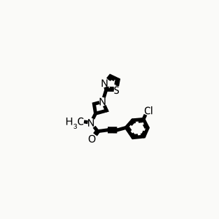 CN(C(=O)C#Cc1cccc(Cl)c1)C1CN(c2nccs2)C1